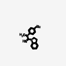 CCC(C)c1ccc(N(C)C(=N)N2CCc3ccccc32)cc1